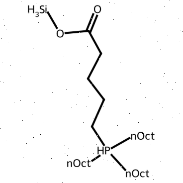 CCCCCCCC[PH](CCCCCCCC)(CCCCCCCC)CCCCC(=O)O[SiH3]